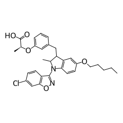 CCCCCOc1ccc2c(c1)C(Cc1cccc(O[C@@H](C)C(=O)O)c1)C(C)N2c1noc2cc(Cl)ccc12